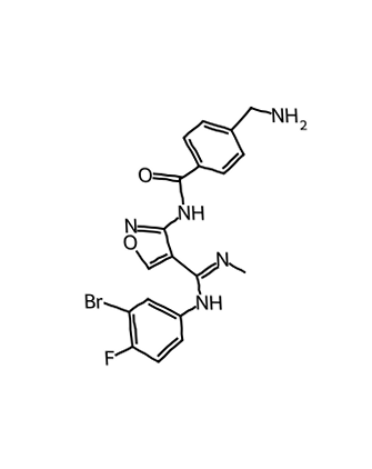 C/N=C(\Nc1ccc(F)c(Br)c1)c1conc1NC(=O)c1ccc(CN)cc1